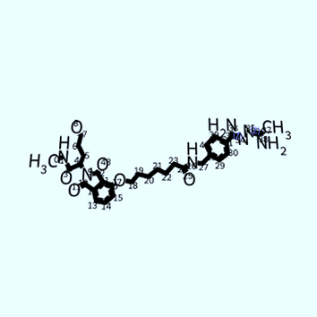 CNC(=O)C(CCC=O)N1C(=O)c2cccc(OCCCCCCC(=O)NCc3ccc(/C(N)=N/N=C(/C)N)cc3)c2C1=O